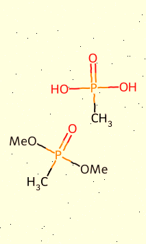 COP(C)(=O)OC.CP(=O)(O)O